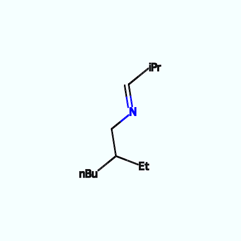 CCCCC(CC)CN=CC(C)C